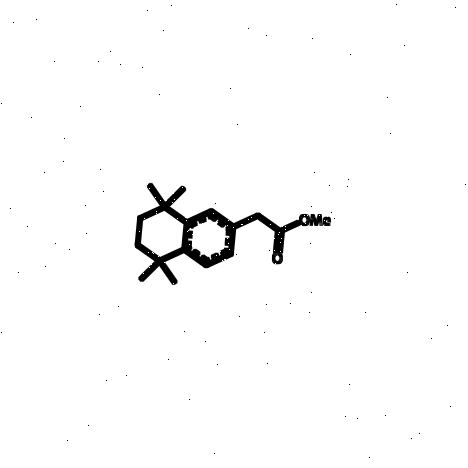 COC(=O)Cc1ccc2c(c1)C(C)(C)CCC2(C)C